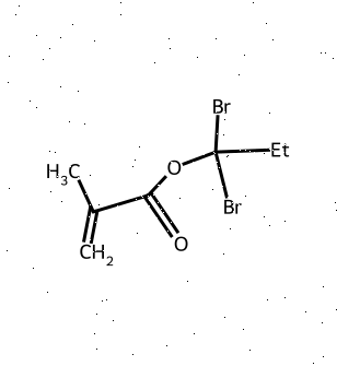 C=C(C)C(=O)OC(Br)(Br)CC